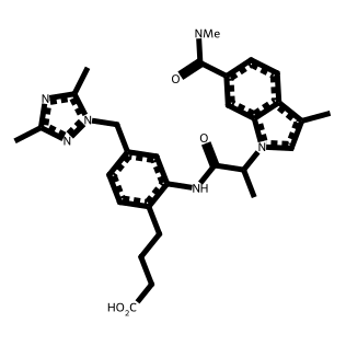 CNC(=O)c1ccc2c(C)cn(C(C)C(=O)Nc3cc(Cn4nc(C)nc4C)ccc3CCCC(=O)O)c2c1